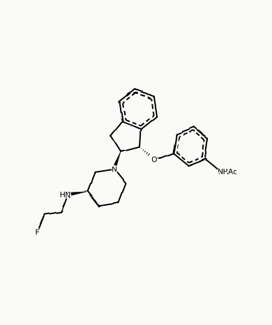 CC(=O)Nc1cccc(O[C@H]2c3ccccc3C[C@@H]2N2CCC[C@@H](NCCF)C2)c1